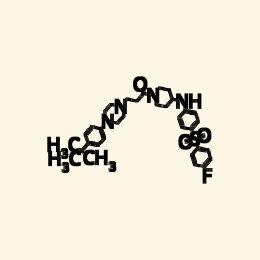 CC(C)(C)c1ccc(N2CCN(CCC(=O)N3CCC(Nc4ccc(S(=O)(=O)c5ccc(F)cc5)cc4)CC3)CC2)cc1